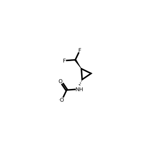 [O]C(=O)N[C@H]1C[C@@H]1C(F)F